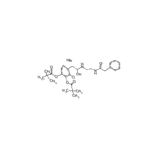 Br.CC(C)(C)C(=O)Oc1ccc(CC(O)NCCNC(=O)Cc2ccccc2)c(Cl)c1OC(=O)C(C)(C)C